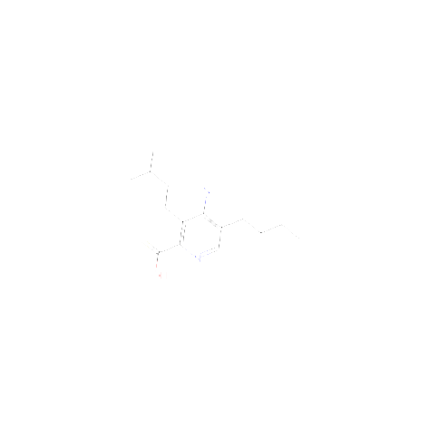 CCCCc1cnc(C(O)=S)c(CCC(C)C)c1N